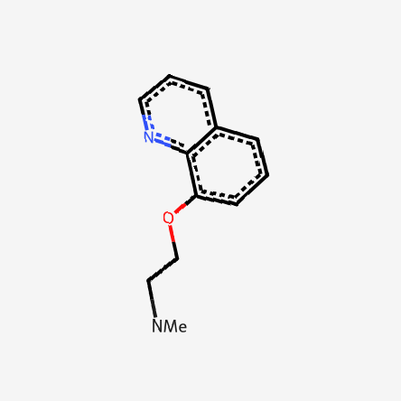 CNCCOc1cccc2cccnc12